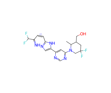 CC1C(CO)CC(F)(F)CN1c1cc(-c2cnc(/C=C\C(=N)C(F)F)[nH]2)ncn1